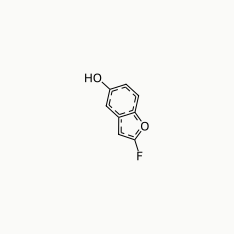 Oc1ccc2oc(F)cc2c1